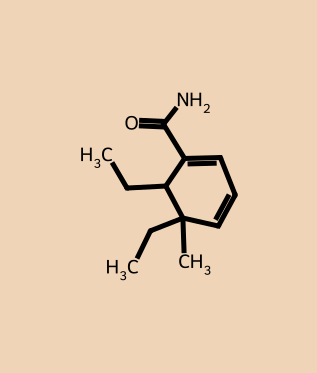 CCC1C(C(N)=O)=CC=CC1(C)CC